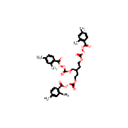 Cc1ccc(C(=O)OOC(=O)OCCC(CCOC(=O)OOC(=O)c2ccc(C)cc2C)COC(=O)OOC(=O)c2ccc(C)cc2C)c(C)c1